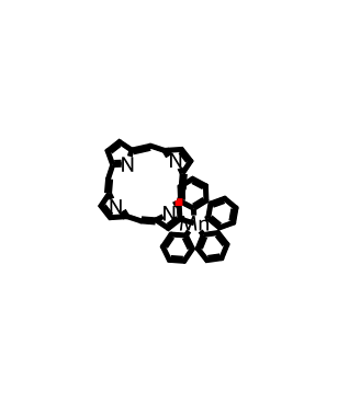 C1=CC2=NC1=CC1=NC(=CC3=NC(=CC4=NC(=C2)C=C4)C=[C]3[Mn]([c]2ccccc2)([c]2ccccc2)([c]2ccccc2)[c]2ccccc2)C=C1